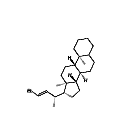 CCC=C[C@@H](C)[C@H]1CC[C@H]2[C@@H]3CCC4CCCC[C@]4(C)[C@H]3CC[C@]12C